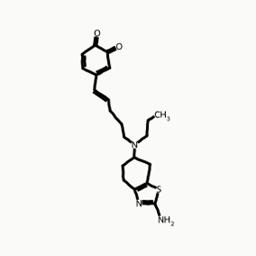 CCCN(CCCC=CC1=CC(=O)C(=O)C=C1)C1CCc2nc(N)sc2C1